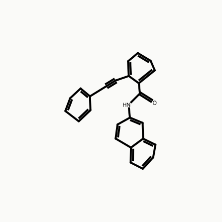 O=C(Nc1ccc2ccccc2c1)c1ccccc1C#Cc1ccccc1